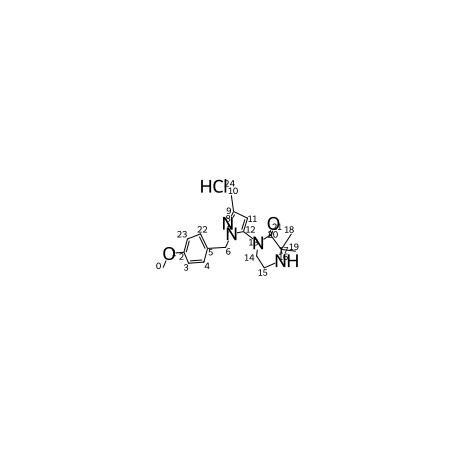 COc1ccc(Cn2nc(C)cc2N2CCNC(C)(C)C2=O)cc1.Cl